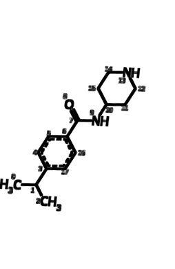 CC(C)c1ccc(C(=O)NC2CCNCC2)cc1